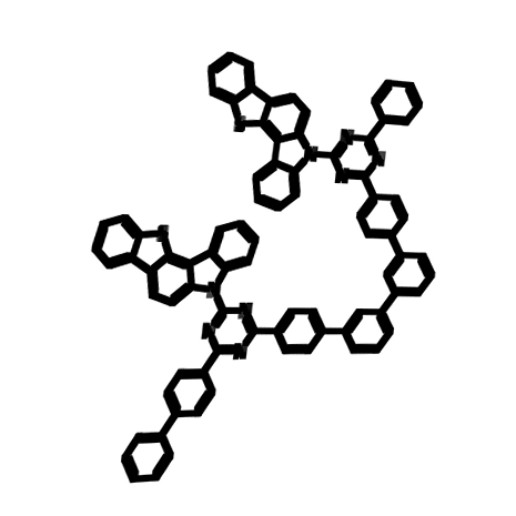 c1ccc(-c2ccc(-c3nc(-c4ccc(-c5cccc(-c6cccc(-c7ccc(-c8nc(-c9ccccc9)nc(-n9c%10ccccc%10c%10c%11sc%12ccccc%12c%11ccc%109)n8)cc7)c6)c5)cc4)nc(-n4c5ccccc5c5c6sc7ccccc7c6ccc54)n3)cc2)cc1